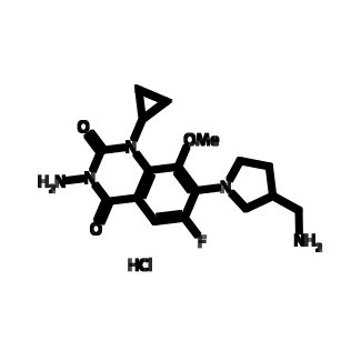 COc1c(N2CCC(CN)C2)c(F)cc2c(=O)n(N)c(=O)n(C3CC3)c12.Cl